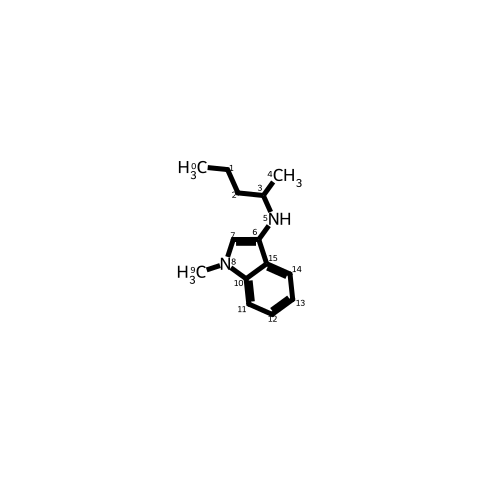 CCCC(C)Nc1cn(C)c2ccccc12